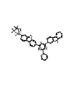 CC1(C)OB(c2ccc3c(c2)oc2cc(-c4nc(-c5ccccc5)nc(-c5ccc6c(c5)oc5ccccc56)n4)ccc23)OC1(C)C